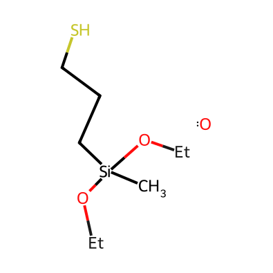 CCO[Si](C)(CCCS)OCC.[O]